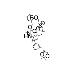 CN(NC(=O)[C@](C)(CCCC(C)(C)CS(=O)(=O)CCO)c1cccc(C[C@@H]2COC(C)(C)O2)c1)C(=O)OCc1ccccc1